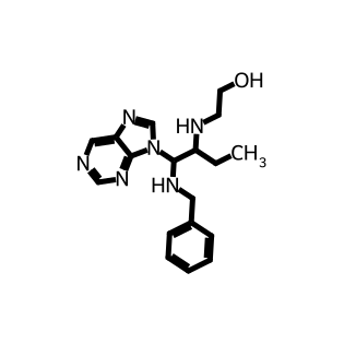 CCC(NCCO)C(NCc1ccccc1)n1cnc2cncnc21